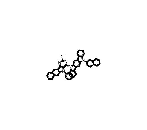 Clc1nc(-n2c3ccccc3c3cc4c(cc32)c2ccccc2n4-c2ccc3ccccc3c2)c2c(n1)c1cc3ccccc3cc1n2-c1ccccc1